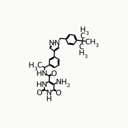 CC(NC(=O)c1[nH]c(=O)[nH]c(=O)c1N)c1cccc(-c2cnn(Cc3ccc(C(C)(C)C)cc3)c2)c1